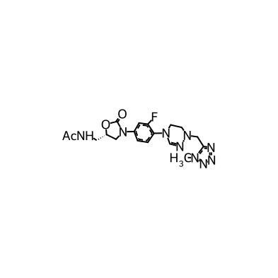 CC(=O)NC[C@H]1CN(c2ccc(N3C=NN(Cc4nnnn4C)CC3)c(F)c2)C(=O)O1